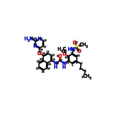 CCCCc1cc(NC(=O)Nc2ccc(Oc3ccnc(N)n3)c3ccccc23)c(OC)c(NS(C)(=O)=O)c1